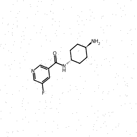 N[C@H]1CC[C@H](NC(=O)c2cncc(F)c2)CC1